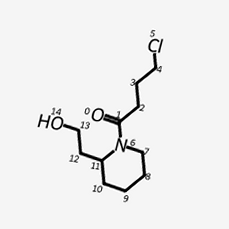 O=C(CCCCl)N1CCCCC1CCO